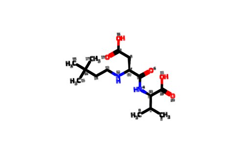 CC(C)[C@@H](NC(=O)[C@H](CC(=O)O)NCCC(C)(C)C)C(=O)O